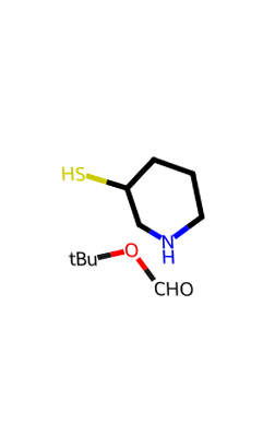 CC(C)(C)OC=O.SC1CCCNC1